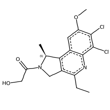 CCc1nc2c(Cl)c(Cl)c(OC)cc2c2c1CN(C(=O)CO)[C@H]2C